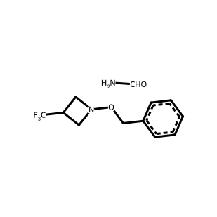 FC(F)(F)C1CN(OCc2ccccc2)C1.NC=O